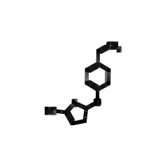 C=Cc1ccc(OC2CC=C(C#N)S2)cc1